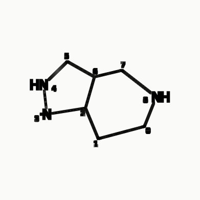 C1CC2[N]NCC2CN1